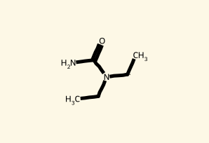 C[CH]N(CC)C(N)=O